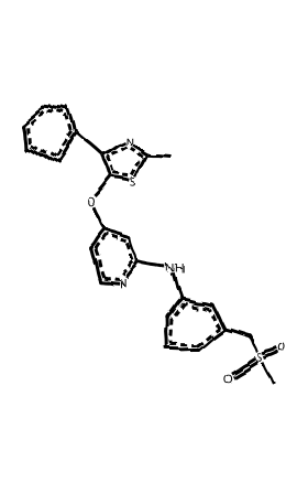 Cc1nc(-c2ccccc2)c(Oc2ccnc(Nc3cccc(CS(C)(=O)=O)c3)c2)s1